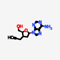 C#CCC1C[C@H](n2cnc3c(N)ncnc32)O[C@@H]1CO